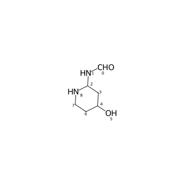 O=CNC1CC(O)CCN1